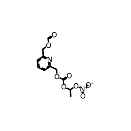 CC(OC(=O)OCc1cccc(COC=O)n1)O[N+](=O)[O-]